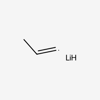 [CH]=CC.[LiH]